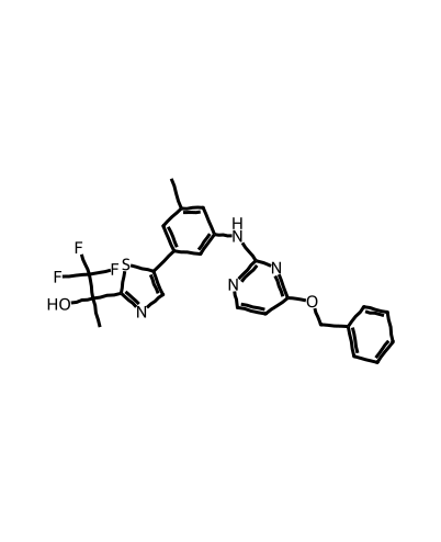 Cc1cc(Nc2nccc(OCc3ccccc3)n2)cc(-c2cnc(C(C)(O)C(F)(F)F)s2)c1